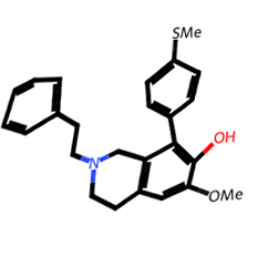 COc1cc2c(c(-c3ccc(SC)cc3)c1O)CN(CCc1ccccc1)CC2